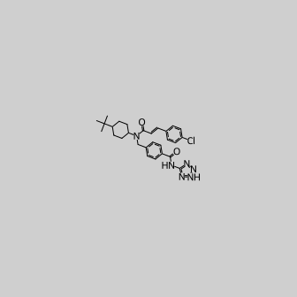 CC(C)(C)C1CCC(N(Cc2ccc(C(=O)Nc3nn[nH]n3)cc2)C(=O)/C=C/c2ccc(Cl)cc2)CC1